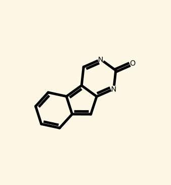 O=C1N=CC2=c3ccccc3=CC2=N1